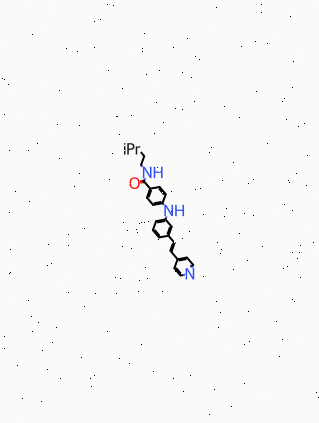 CC(C)CCNC(=O)c1ccc(Nc2cccc(/C=C/c3ccncc3)c2)cc1